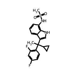 CC(c1ccc(F)cc1F)(c1c[nH]c2c(NS(C)(=O)=O)cccc12)C1CC1